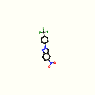 O=[N+]([O-])c1ccc2nn(-c3ccc(C(F)(F)F)cc3)cc2c1